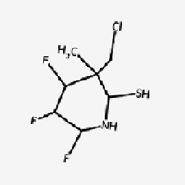 CC1(CCl)C(S)NC(F)C(F)C1F